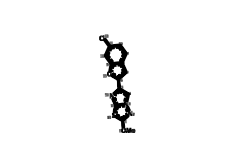 COc1nn2cc(-c3cc4ccc(Cl)cc4o3)nc2s1